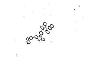 CC1(C)c2ccccc2N(c2ccc(-c3cccc4c3-c3ccccc3C43c4ccccc4-c4c3ccc3ccccc43)cc2)c2ccc(-c3ccc4oc5ccccc5c4c3)cc21